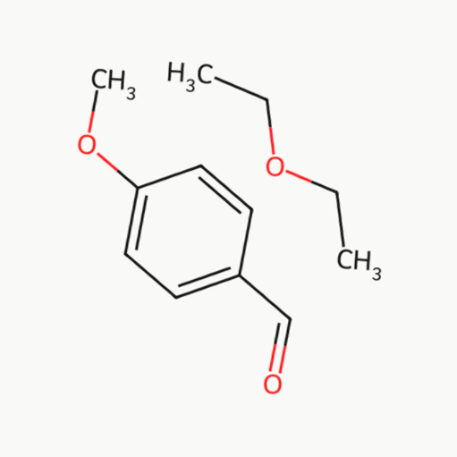 CCOCC.COc1ccc(C=O)cc1